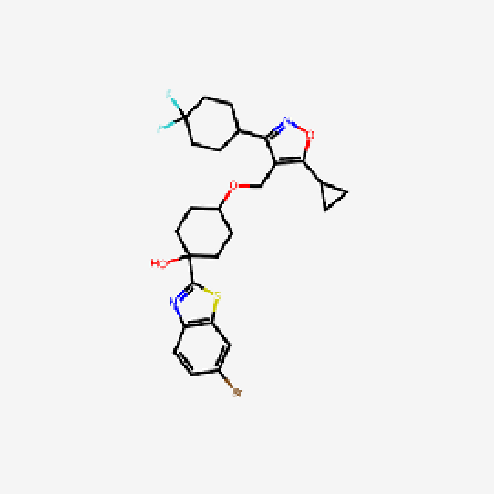 OC1(c2nc3ccc(Br)cc3s2)CCC(OCc2c(C3CCC(F)(F)CC3)noc2C2CC2)CC1